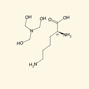 NCCCC[C@H](N)C(=O)O.OCN(CO)CO